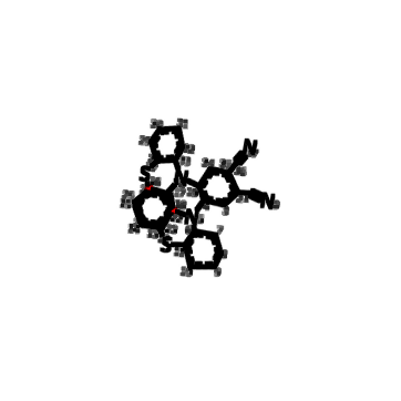 N#Cc1cc(N2c3ccccc3Sc3ccccc32)c(N2c3ccccc3Sc3ccccc32)cc1C#N